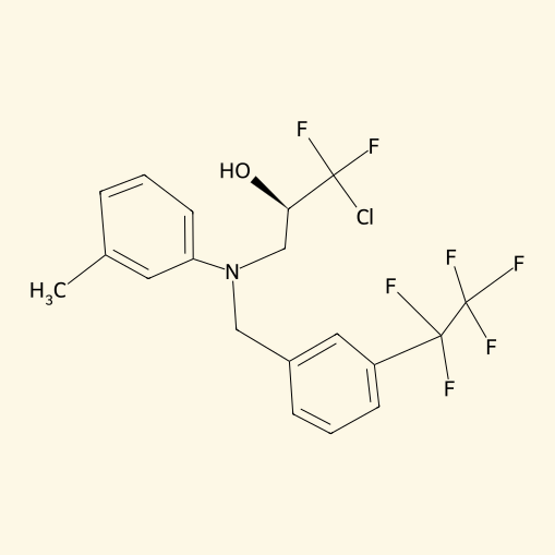 Cc1cccc(N(Cc2cccc(C(F)(F)C(F)(F)F)c2)C[C@@H](O)C(F)(F)Cl)c1